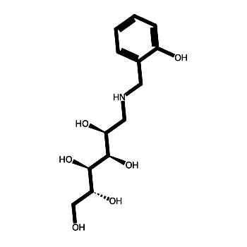 OC[C@@H](O)[C@@H](O)[C@H](O)[C@@H](O)CNCc1ccccc1O